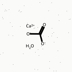 O.O=C([O-])[O-].[Ca+2]